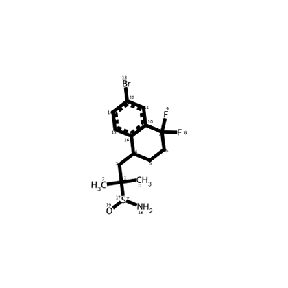 CC(C)(CC1CCC(F)(F)c2cc(Br)ccc21)[S+](N)[O-]